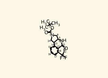 CC(C)(C)OC(=O)N1CC2NC(=O)c3c(cccc3C(F)(F)F)C2C1